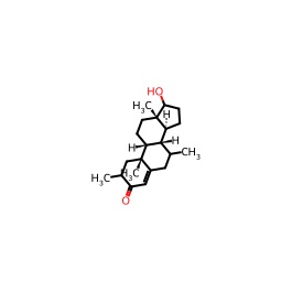 CC1C[C@@]2(C)C(=CC1=O)CC(C)[C@@H]1[C@H]2CC[C@]2(C)C(O)CC[C@@H]12